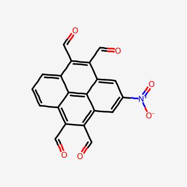 O=Cc1c(C=O)c2cc([N+](=O)[O-])cc3c(C=O)c(C=O)c4cccc1c4c23